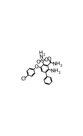 NC(=O)c1c(N)c(-c2ccccc2)cc(Oc2ccc(Cl)cc2)c1S(N)(=O)=O